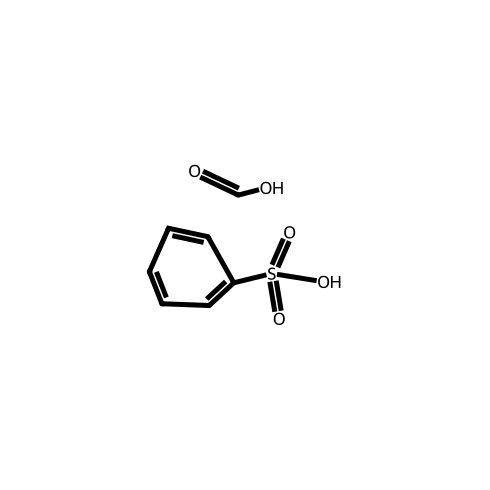 O=CO.O=S(=O)(O)c1ccccc1